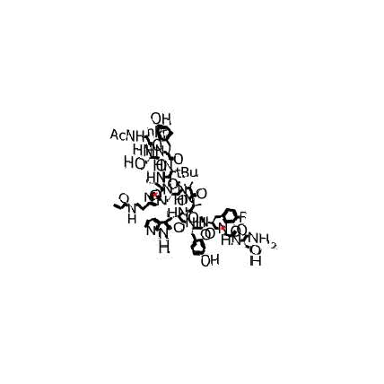 C=CC(=O)NCCc1cn(C[C@H](NC(=O)[C@H](C)NC(=O)[C@@H](NC(=O)[C@H](Cc2ccc(O)cc2)NC(=O)[C@H](CO)NC(=O)[C@H](CCC)NC(C)=O)C(C)(C)C)C(=O)N(C)[C@@H](C)C(=O)N[C@@H](C)C(=O)N[C@@H](Cc2c[nH]c3ncccc23)C(=O)N[C@@H](Cc2ccc(O)cc2)C(=O)N(C)[C@@H](Cc2ccc(F)cc2)C(=O)N(C)CC(=O)N[C@@H](CO)C(N)=O)nn1